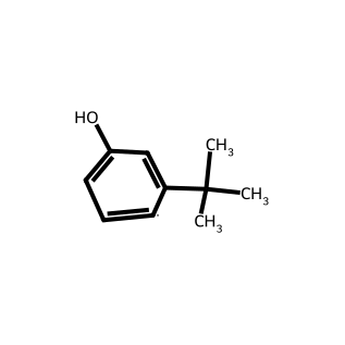 CC(C)(C)c1[c]ccc(O)c1